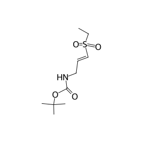 CCS(=O)(=O)/C=C/CNC(=O)OC(C)(C)C